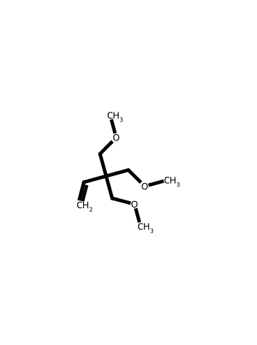 C=CC(COC)(COC)COC